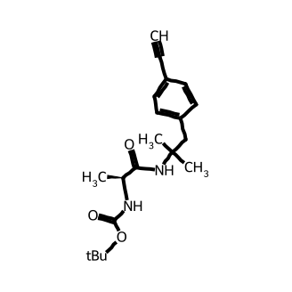 C#Cc1ccc(CC(C)(C)NC(=O)[C@H](C)NC(=O)OC(C)(C)C)cc1